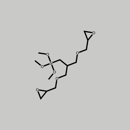 CO[Si](CC(COCC1CO1)COCC1CO1)(OC)OC